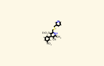 CCOC(=O)C1=C(CSCc2cccnc2)NC(C)=C(C#N)C1c1cccc([N+](=O)[O-])c1